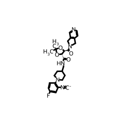 [C-]#[N+]c1cc(F)ccc1N1CCC(CNC(=O)[C@@H]2OC(C)(C)O[C@H]2C(=O)N2Cc3ccncc3C2)CC1